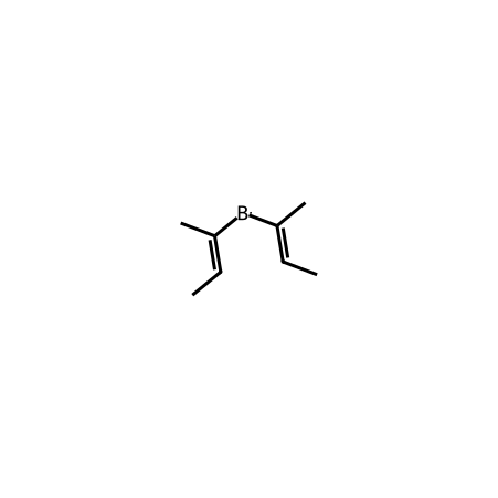 CC=C(C)[B]C(C)=CC